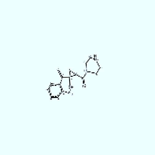 O=C(C1CC1(O)C(=O)c1ccccc1F)N1CCNCC1